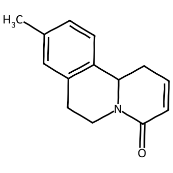 Cc1ccc2c(c1)CCN1C(=O)C=CCC21